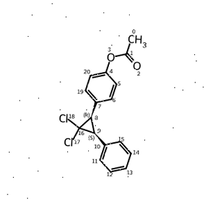 CC(=O)Oc1ccc([C@H]2[C@@H](c3ccccc3)C2(Cl)Cl)cc1